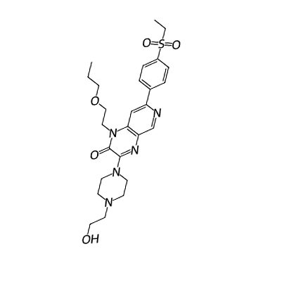 CCCOCCn1c(=O)c(N2CCN(CCO)CC2)nc2cnc(-c3ccc(S(=O)(=O)CC)cc3)cc21